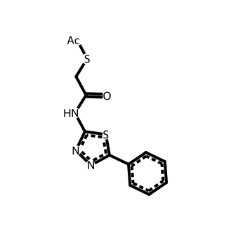 CC(=O)SCC(=O)Nc1nnc(-c2ccccc2)s1